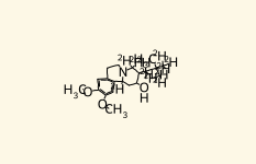 [2H]C12CC(O)C(C([2H])([2H])C(C)(C([2H])([2H])[2H])C([2H])([2H])[2H])C([2H])([2H])N1CCc1cc(OC)c(OC)cc12